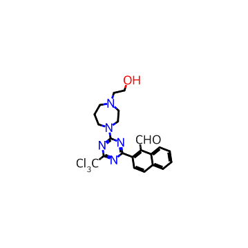 O=Cc1c(-c2nc(N3CCCN(CCO)CC3)nc(C(Cl)(Cl)Cl)n2)ccc2ccccc12